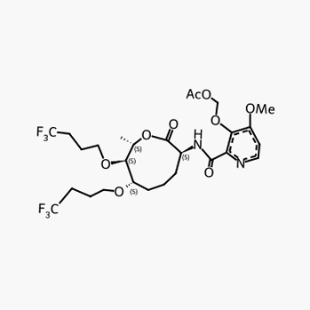 COc1ccnc(C(=O)N[C@H]2CCC[C@H](OCCCC(F)(F)F)[C@@H](OCCCC(F)(F)F)[C@H](C)OC2=O)c1OCOC(C)=O